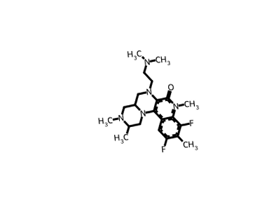 Cc1c(F)cc2c3c(c(=O)n(C)c2c1F)N(CCN(C)C)CC1CN(C)C(C)CN31